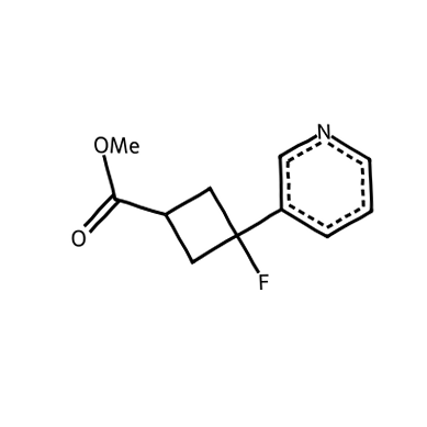 COC(=O)C1CC(F)(c2cccnc2)C1